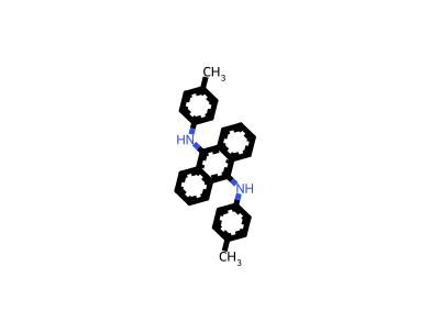 Cc1ccc(Nc2c3ccccc3c(Nc3ccc(C)cc3)c3ccccc23)cc1